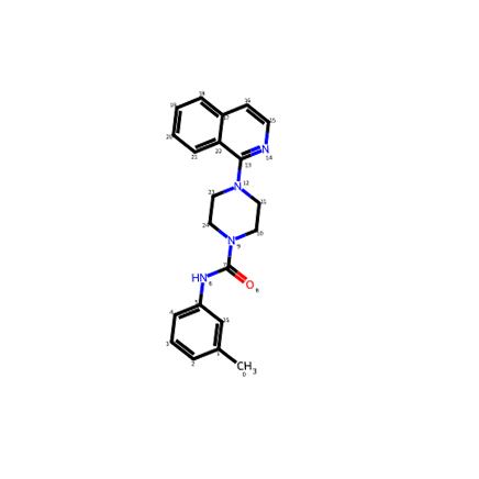 Cc1cccc(NC(=O)N2CCN(c3nccc4ccccc34)CC2)c1